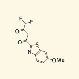 COc1ccc2nc(C(=O)CC(=O)C(F)F)sc2c1